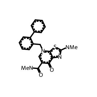 CNC(=O)c1cn(Cc2ccccc2-c2ccccc2)c2sc(NC)nc2c1=O